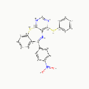 O=[N+]([O-])c1ccc(C2=Nc3c(Sc4ccccc4)ncnc3Sc3ccccc32)cc1